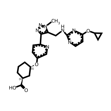 Cn1nnc(-c2ccc(O[C@H]3CCC[C@H](C(=O)O)C3)cn2)c1CNc1nccc(OC2CC2)n1